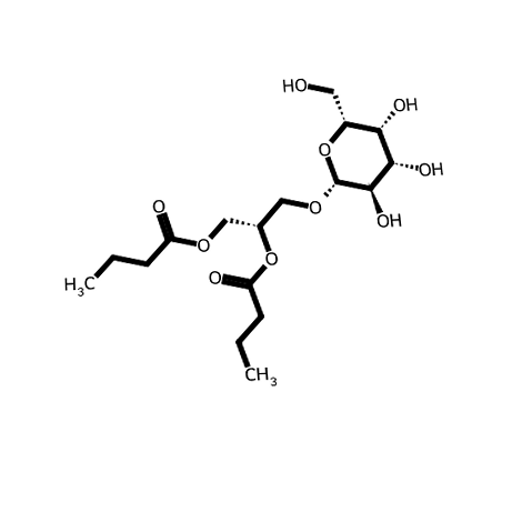 CCCC(=O)OC[C@H](CO[C@@H]1O[C@H](CO)[C@H](O)[C@H](O)[C@H]1O)OC(=O)CCC